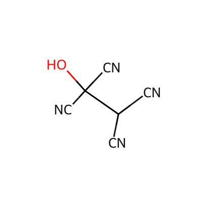 N#CC(C#N)C(O)(C#N)C#N